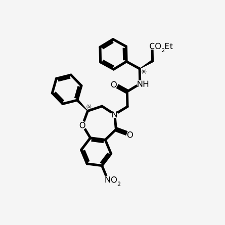 CCOC(=O)C[C@@H](NC(=O)CN1C[C@H](c2ccccc2)Oc2ccc([N+](=O)[O-])cc2C1=O)c1ccccc1